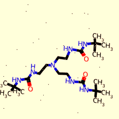 CC(C)(C)NC(=O)NCCN(CCNC(=O)NC(C)(C)C)CCNC(=O)NC(C)(C)C